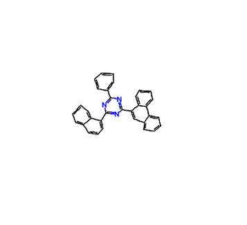 c1ccc(-c2nc(-c3cccc4ccccc34)nc(-c3cc4ccccc4c4ccccc34)n2)cc1